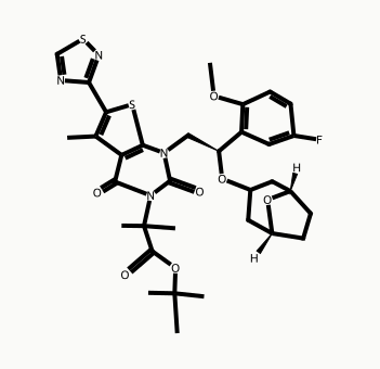 COc1ccc(F)cc1[C@H](Cn1c(=O)n(C(C)(C)C(=O)OC(C)(C)C)c(=O)c2c(C)c(-c3ncsn3)sc21)OC1C[C@H]2CC[C@@H](C1)O2